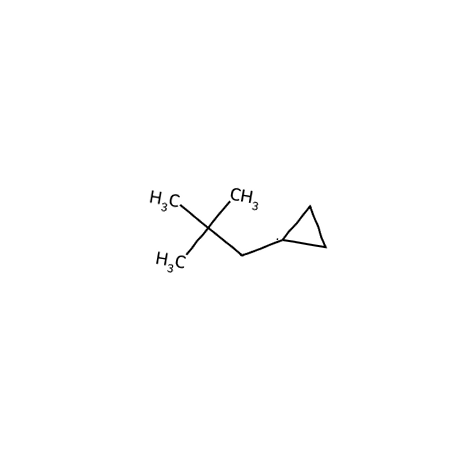 CC(C)(C)C[C]1CC1